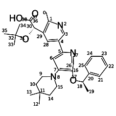 Cc1ncc(-c2cc(N3CCC(C)(C)CC3)c(O[C@H](C)c3ccccc3)cn2)cc1[C@H](OC(C)(C)C)C(=O)O